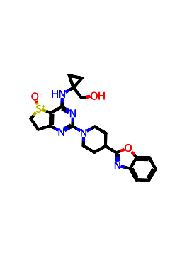 [O-][S+]1CCc2nc(N3CCC(c4nc5ccccc5o4)CC3)nc(NC3(CO)CC3)c21